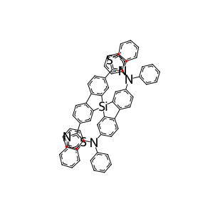 c1ccc(N(c2ccccc2)c2ccc3c(c2)[Si]2(c4cc(-c5nc6ccccc6s5)ccc4-c4ccc(-c5nc6ccccc6s5)cc42)c2cc(N(c4ccccc4)c4ccccc4)ccc2-3)cc1